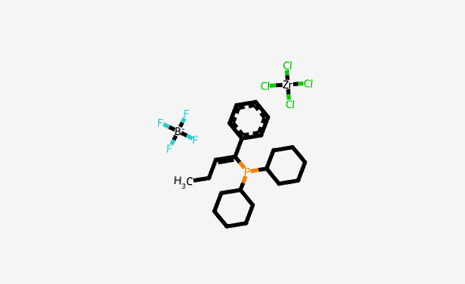 CCC=C(c1ccccc1)P(C1CCCCC1)C1CCCCC1.F[B-](F)(F)F.[Cl][Zr]([Cl])([Cl])[Cl]